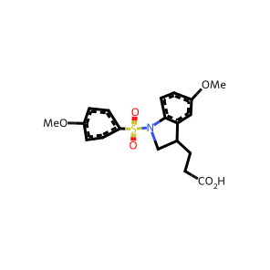 COc1ccc(S(=O)(=O)N2CC(CCC(=O)O)c3cc(OC)ccc32)cc1